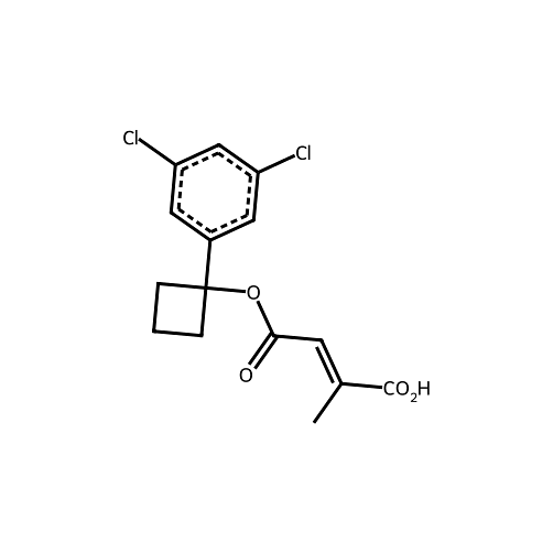 C/C(=C\C(=O)OC1(c2cc(Cl)cc(Cl)c2)CCC1)C(=O)O